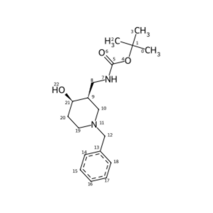 CC(C)(C)OC(=O)NC[C@H]1CN(Cc2ccccc2)CC[C@H]1O